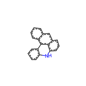 c1ccc2c(c1)Nc1cccc3cc4ccccc4c-2c13